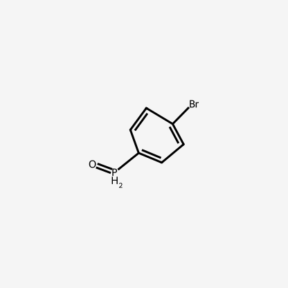 O=[PH2]c1ccc(Br)cc1